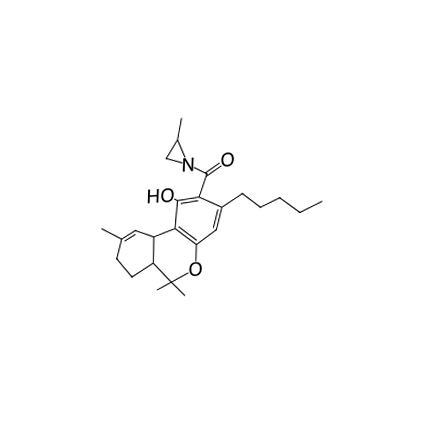 CCCCCc1cc2c(c(O)c1C(=O)N1CC1C)C1C=C(C)CCC1C(C)(C)O2